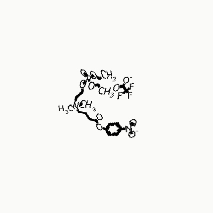 CCOP(=O)(OCC)OCC[N+](C)(C)CCCC(=O)Oc1ccc([N+](=O)[O-])cc1.O=C([O-])C(F)(F)F